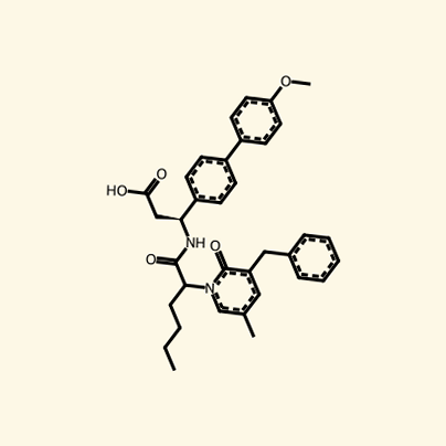 CCCCC(C(=O)N[C@@H](CC(=O)O)c1ccc(-c2ccc(OC)cc2)cc1)n1cc(C)cc(Cc2ccccc2)c1=O